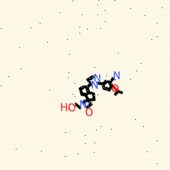 CC(C)Oc1ccc(-c2nccc(-c3cccc4c3CCC43CC(=O)N(CCO)C3)n2)cc1C#N